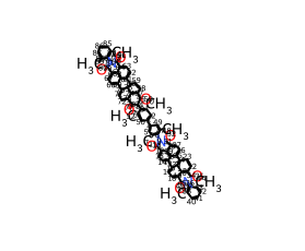 Cc1cc(-c2cc(C)c(N3C(=O)c4ccc5c6ccc7c8c(ccc(c9ccc(c4c59)C3=O)c86)C(=O)N(c3c(C)cccc3C)C7=O)c(C)c2)cc(C)c1C1C(=O)c2ccc3c4ccc5c6c(ccc(c7ccc(c2c37)C1=O)c64)C(=O)N(c1c(C)cccc1C)C5=O